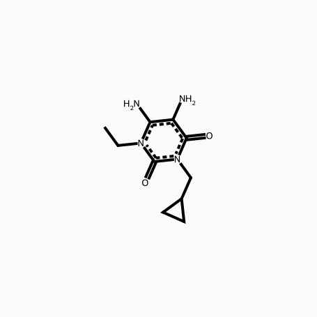 CCn1c(N)c(N)c(=O)n(CC2CC2)c1=O